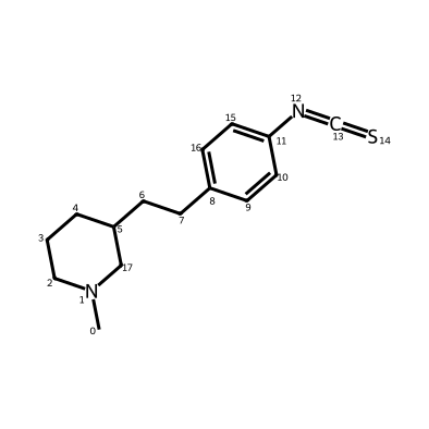 CN1CCCC(CCc2ccc(N=C=S)cc2)C1